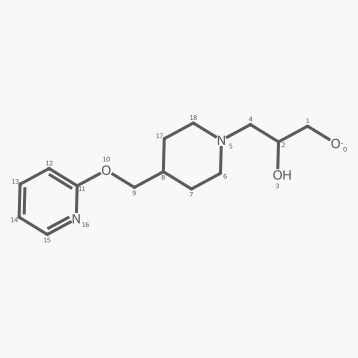 [O]CC(O)CN1CCC(COc2ccccn2)CC1